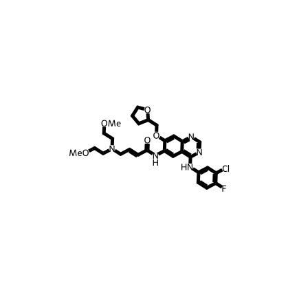 COCCN(CC=CC(=O)Nc1cc2c(Nc3ccc(F)c(Cl)c3)ncnc2cc1OCC1CCCO1)CCOC